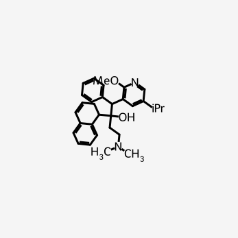 COc1ncc(C(C)C)cc1C(c1ccccc1)C(O)(CCN(C)C)C1CC=Cc2ccccc21